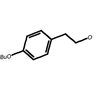 CC(C)COc1ccc(CC[O])cc1